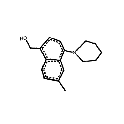 Cc1ccc2c(CO)ccc(N3CCCCC3)c2c1